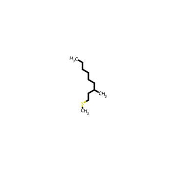 CCCCCCC(C)CCSC